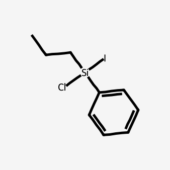 CCC[Si](Cl)(I)c1ccccc1